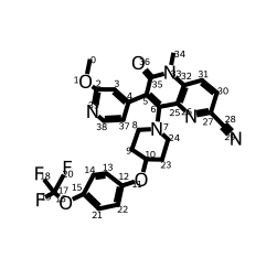 COc1cc(-c2c(N3CCC(Oc4ccc(OC(F)(F)F)cc4)CC3)c3nc(C#N)ccc3n(C)c2=O)ccn1